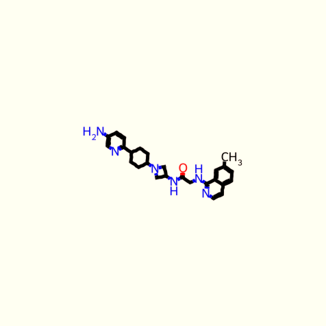 Cc1ccc2ccnc(NCC(=O)NC3CN(C4CCC(c5ccc(N)cn5)CC4)C3)c2c1